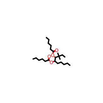 CCCCCC(=O)OC(CCCCC)C(OC(=O)CCCCC)C(C)(C)CC